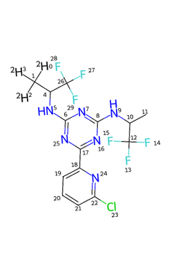 [2H]C([2H])([2H])C(Nc1nc(NC(C)C(F)(F)F)nc(-c2cccc(Cl)n2)n1)C(F)(F)F